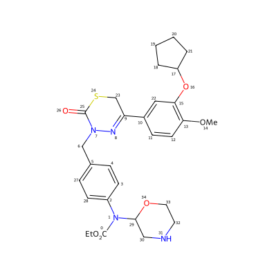 CCOC(=O)N(c1ccc(CN2N=C(c3ccc(OC)c(OC4CCCC4)c3)CSC2=O)cc1)C1CNCCO1